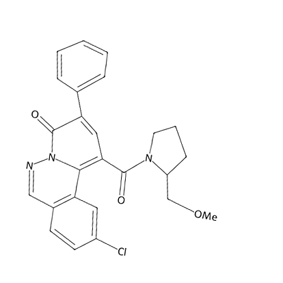 COCC1CCCN1C(=O)c1cc(-c2ccccc2)c(=O)n2ncc3ccc(Cl)cc3c12